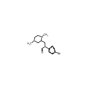 CN1CCN(C)C(CN(C=O)c2ccc(Br)cc2)C1